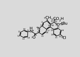 Cc1cc2nc(C(=O)Nc3ccccc3)ccc2c(-c2ccc(Cl)cc2)c1[C@H](OC(C)(C)C)C(=O)O